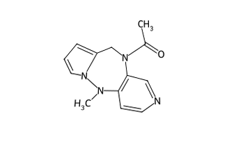 CC(=O)N1Cc2cccn2N(C)c2ccncc21